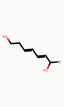 CCC(O)C=CC=CCCO